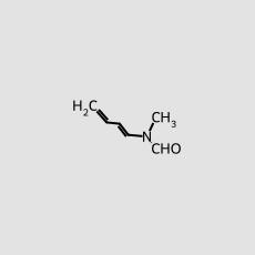 C=CC=CN(C)C=O